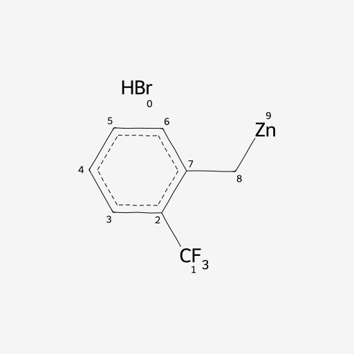 Br.FC(F)(F)c1ccccc1[CH2][Zn]